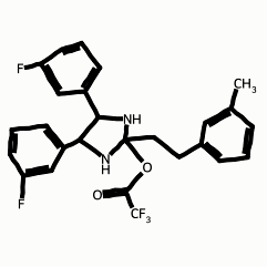 Cc1cccc(CCC2(OC(=O)C(F)(F)F)NC(c3cccc(F)c3)C(c3cccc(F)c3)N2)c1